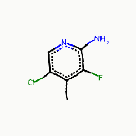 Cc1c(Cl)cnc(N)c1F